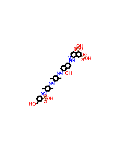 Cc1cc(N=Nc2ccc(CO)cc2S(=O)(=O)O)c(C)cc1N=Nc1cc(C)c(N=Nc2ccc3cc(-n4nc5ccc6c(S(=O)(=O)O)cc(S(=O)(=O)O)cc6c5n4)ccc3c2O)cc1C